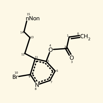 C=CC(=O)Oc1ccnc(Br)c1CCCCCCCCCCCC